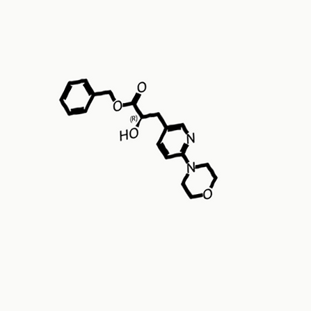 O=C(OCc1ccccc1)[C@H](O)Cc1ccc(N2CCOCC2)nc1